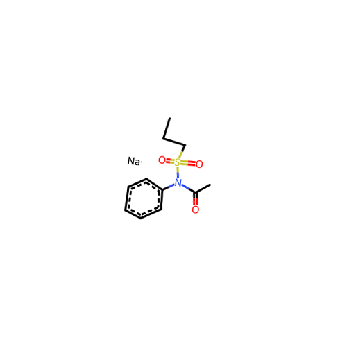 CCCS(=O)(=O)N(C(C)=O)c1ccccc1.[Na]